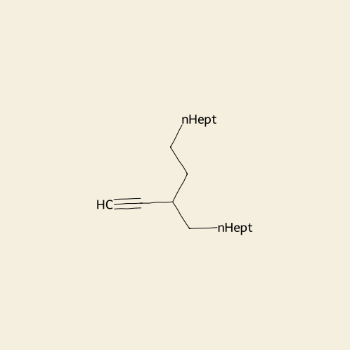 C#CC(CCCCCCCC)CCCCCCCCC